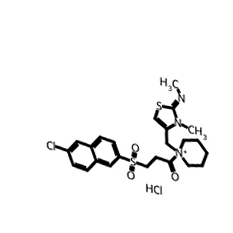 C/N=c1\scc(C[N+]2(C(=O)CCS(=O)(=O)c3ccc4cc(Cl)ccc4c3)CCCCC2)n1C.Cl